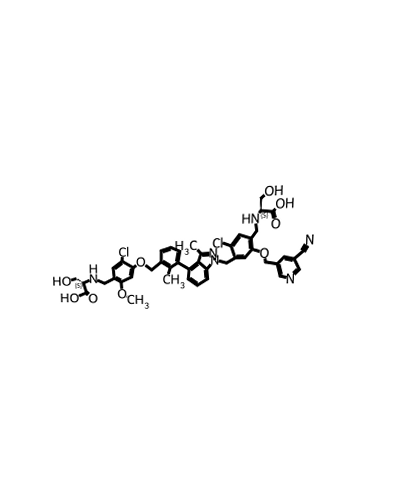 COc1cc(OCc2cccc(-c3cccc4c3c(C)nn4Cc3cc(OCc4cncc(C#N)c4)c(CN[C@@H](CO)C(=O)O)cc3Cl)c2C)c(Cl)cc1CN[C@@H](CO)C(=O)O